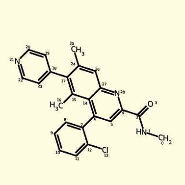 CNC(=O)c1cc(-c2ccccc2Cl)c2c(C)c(-c3ccncc3)c(C)cc2n1